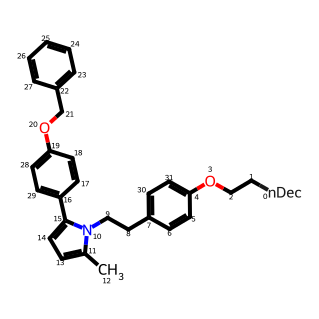 CCCCCCCCCCCCOc1ccc(CCn2c(C)ccc2-c2ccc(OCc3ccccc3)cc2)cc1